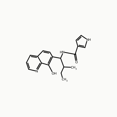 CCC(C)C(NC(=O)c1cc[nH]c1)c1ccc2cccnc2c1O